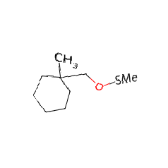 CSOCC1(C)CCCCC1